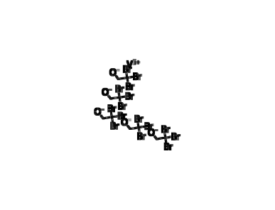 [O-]CC(Br)(Br)Br.[O-]CC(Br)(Br)Br.[O-]CC(Br)(Br)Br.[O-]CC(Br)(Br)Br.[O-]CC(Br)(Br)Br.[V+5]